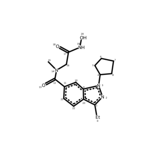 CCc1nn(C2CCCC2)c2cc(C(=O)N(C)CC(=O)NO)ccc12